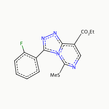 CCOC(=O)c1cnc(SC)n2c(-c3ccccc3F)nnc12